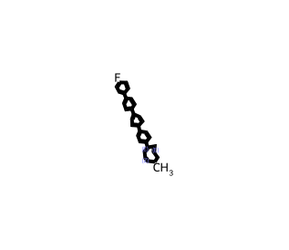 CC1\C=C/C=C(c2ccc(-c3ccc(-c4ccc(-c5ccc(F)cc5)cc4)cc3)cc2)\C=C\C1